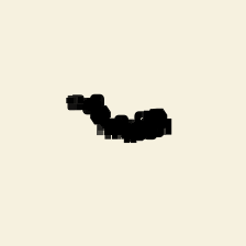 CC(C)(C)OC(=O)N1CCC(CCNC(=O)Nc2nc3ccc(OS(=O)(=O)c4c(Cl)cccc4Cl)cc3s2)CC1